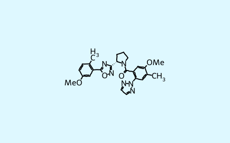 COc1ccc(C)c(-c2nc([C@@H]3CCCN3C(=O)c3cc(OC)c(C)cc3-n3nccn3)no2)c1